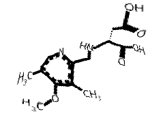 COc1c(C)cnc(CN[C@H](CC(=O)O)C(=O)O)c1C